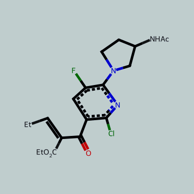 CCC=C(C(=O)OCC)C(=O)c1cc(F)c(N2CCC(NC(C)=O)C2)nc1Cl